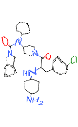 NC1CCC(N[C@H](Cc2ccc(Cl)cc2)C(=O)N2CCC(N(C(=O)N3Cc4ccccc4C3)C3CCCCC3)CC2)CC1